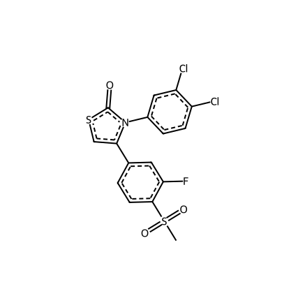 CS(=O)(=O)c1ccc(-c2csc(=O)n2-c2ccc(Cl)c(Cl)c2)cc1F